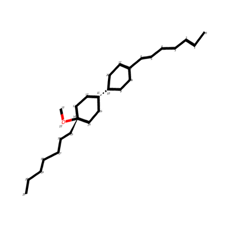 CCCCCCCC1CCC([C@H]2CC[C@@](CCCCCCC)(OC)CC2)CC1